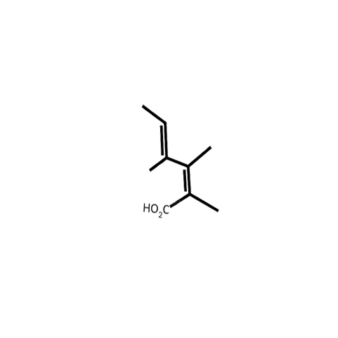 C/C=C(C)/C(C)=C(/C)C(=O)O